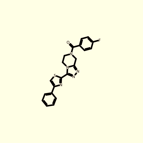 O=C(c1ccc(F)cc1)N1CCn2c(nnc2-c2nc(-c3ccccc3)cs2)C1